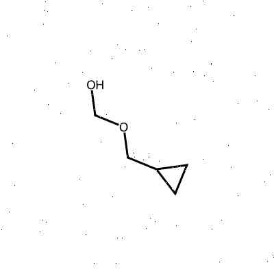 OCOCC1CC1